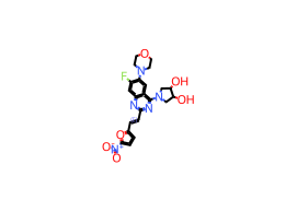 O=[N+]([O-])c1ccc(/C=C/c2nc(N3CC(O)C(O)C3)c3cc(N4CCOCC4)c(F)cc3n2)o1